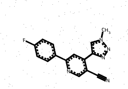 Cn1cc(-c2cc(-c3ccc(F)cc3)ncc2C#N)nn1